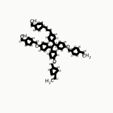 C=Cc1ccc(CCCc2ccc(C(c3ccc(OCc4ccc(C=C)cc4)cc3)C(c3ccc(OCc4ccc(C=C)cc4)cc3)c3ccc(OCc4ccc(C=C)cc4)cc3)cc2)cc1